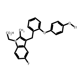 CCOc1ccc(Oc2ccccc2Cc2c(C)n(CC(=O)O)c3ccc(F)cc23)cc1